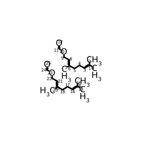 CC(C)=CCCC(C)=CCOC=O.CC(C)=CCCC(C)=CCOC=O